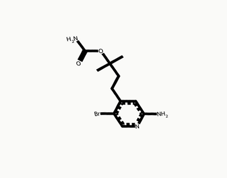 CC(C)(CCc1cc(N)ncc1Br)OC(N)=O